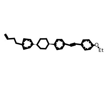 C=CCCc1ccc([C@H]2CC[C@H](c3ccc(C#Cc4ccc(OCC)cc4)cc3)CC2)cc1